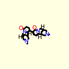 CN1C[C@H]2C[C@@H](C1)C1=C(c3ccc4n(c3=O)C[C@@H]3C[C@H]4CN(C)C3)CCC(=O)N1C2